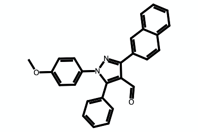 COc1ccc(-n2nc(-c3ccc4ccccc4c3)c(C=O)c2-c2ccccc2)cc1